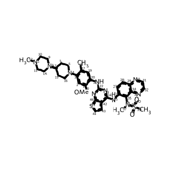 COc1cc(N2CCC(N3CCN(C)CC3)CC2)c(C)cc1Nc1nc(Nc2ccc3nccnc3c2N(C)S(C)(=O)=O)c2ccsc2n1